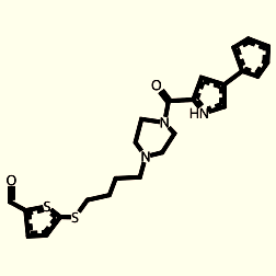 O=Cc1ccc(SCCCCN2CCN(C(=O)c3cc(-c4ccccc4)c[nH]3)CC2)s1